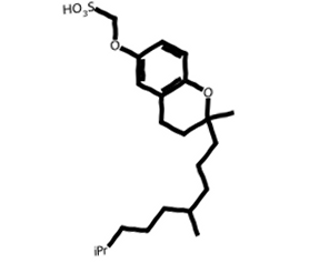 CC(C)CCCC(C)CCCC1(C)CCc2cc(OCS(=O)(=O)O)ccc2O1